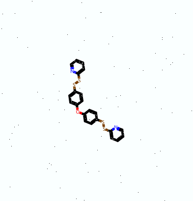 c1ccc(SSc2ccc(Oc3ccc(SSc4ccccn4)cc3)cc2)nc1